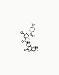 CCN(c1cc(Cl)cc(C(=O)NCc2c(C)n3[nH]c(C)cc3nc2=O)c1C)[C@H]1CC[C@H](N(C)C)CC1